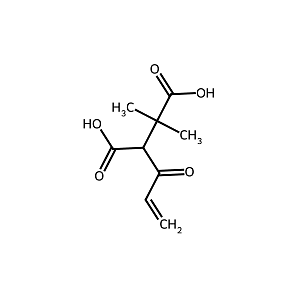 C=CC(=O)C(C(=O)O)C(C)(C)C(=O)O